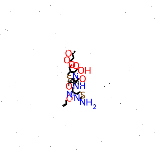 C=CCO/N=C(/C(=O)N[C@@H]1C(=O)N2C(C(=O)O)=C(COC(=O)CC(C)=O)CS[C@H]12)c1csc(N)n1